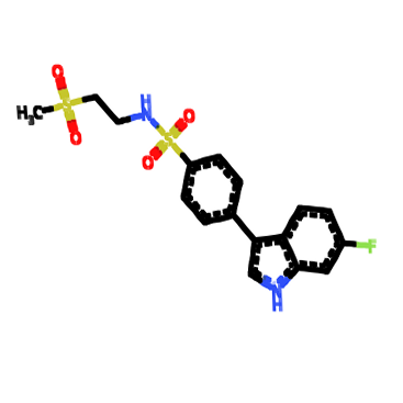 CS(=O)(=O)CCNS(=O)(=O)c1ccc(-c2c[nH]c3cc(F)ccc23)cc1